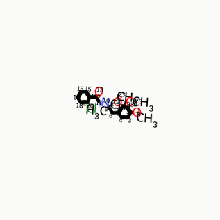 COc1ccc(CC(C)(C)/N=C/C(=O)c2ccccc2Cl)c(OC)c1OC